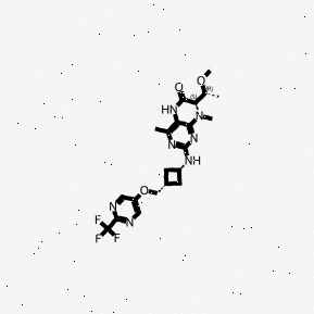 CO[C@H](C)[C@H]1C(=O)Nc2c(C)nc(N[C@H]3C[C@@H](COc4cnc(C(F)(F)F)nc4)C3)nc2N1C